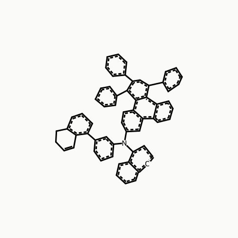 C1=Cc2c(cccc2-c2cccc(N(c3ccc4c(c3)c3ccccc3c3c(-c5ccccc5)cc(-c5ccccc5)c(-c5ccccc5)c43)c3cccc4ccccc34)c2)CC1